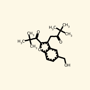 CC(C)(C)C(=O)Cc1c(C(=O)C(C)(C)C)oc2ccc(CO)cc12